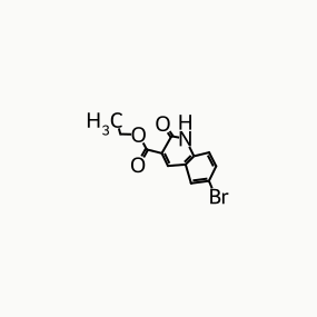 CCOC(=O)c1cc2cc(Br)ccc2[nH]c1=O